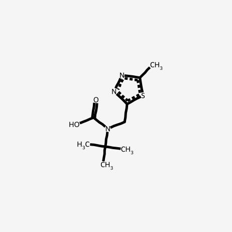 Cc1nnc(CN(C(=O)O)C(C)(C)C)s1